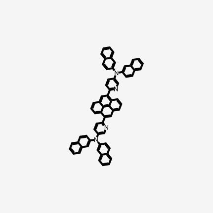 c1ccc2cc(N(c3ccc(-c4cc5cccc6c(-c7ccc(N(c8ccc9ccccc9c8)c8ccc9ccccc9c8)cn7)cc7cccc4c7c56)nc3)c3ccc4ccccc4c3)ccc2c1